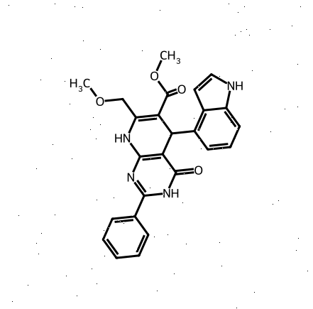 COCC1=C(C(=O)OC)C(c2cccc3[nH]ccc23)c2c(nc(-c3ccccc3)[nH]c2=O)N1